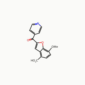 COc1ccc(C(=O)O)c2cc(C(=O)c3ccncc3)oc12